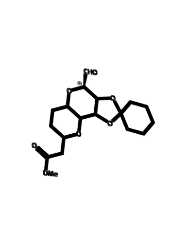 COC(=O)CC1CCC2O[C@@H](C=O)C3OC4(CCCCC4)OC3C2O1